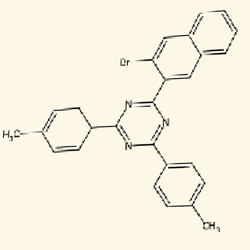 CC1=CCC(c2nc(-c3ccc(C)cc3)nc(-c3cc4ccccc4cc3Br)n2)C=C1